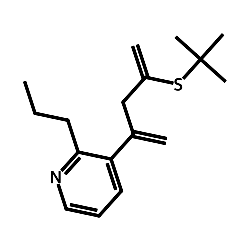 C=C(CC(=C)c1cccnc1CCC)SC(C)(C)C